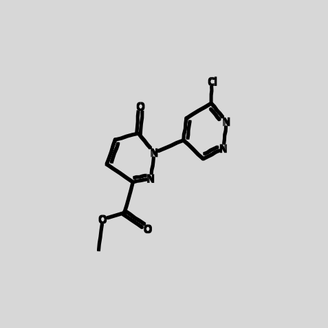 COC(=O)c1ccc(=O)n(-c2cnnc(Cl)c2)n1